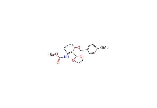 COc1ccc(COc2cccc(NC(=O)OC(C)(C)C)c2C2OCCO2)cc1